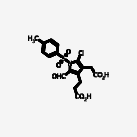 Cc1ccc(S(=O)(=O)n2c(Cl)c(CC(=O)O)c(CCC(=O)O)c2C=O)cc1